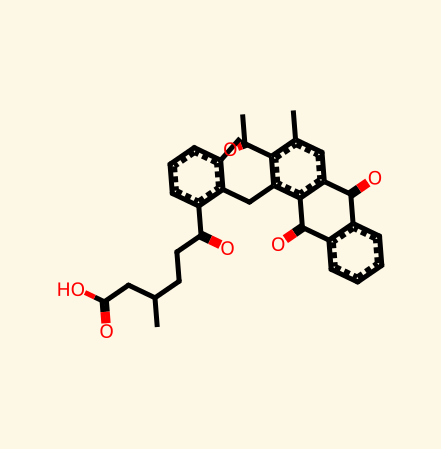 CC(=O)c1c(C)cc2c(c1Cc1c(C)cccc1C(=O)CCC(C)CC(=O)O)C(=O)c1ccccc1C2=O